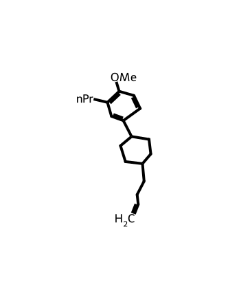 C=CCCC1CCC(c2ccc(OC)c(CCC)c2)CC1